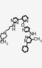 Cc1cc(-c2ccccc2)nnc1Nc1ccc(Oc2ncccc2-c2ccnc(NCCCN3CCN(C)CC3)n2)nc1